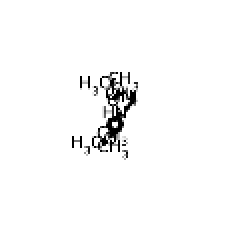 CC(C)(C)OC(=O)N1CCC1CNc1ccc(OC(C)(C)C)cc1